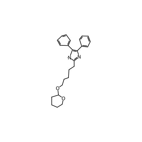 c1ccc(C2=C(c3ccccc3)N=C(CCCCCOC3CCCCO3)[N]2)cc1